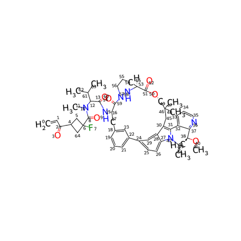 C=CC(=O)C1CC(F)(C(=O)N(C)C(C(=O)N[C@H]2Cc3cccc(c3)-c3ccc4c(c3)c(c(-c3cccnc3[C@H](C)OC)n4CC)CC(C)(C)COC(=O)[C@@H]3CCCN(N3)C2=O)C(C)C)C1